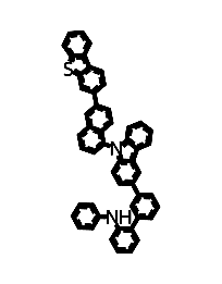 c1ccc(Nc2ccccc2-c2cccc(-c3ccc4c(c3)c3ccccc3n4-c3cccc4cc(-c5ccc6c(c5)sc5ccccc56)ccc34)c2)cc1